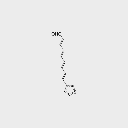 O=C/C=C/C=C/C=C/C=C/c1ccsc1